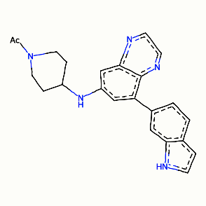 CC(=O)N1CCC(Nc2cc(-c3ccc4cc[nH]c4c3)c3nccnc3c2)CC1